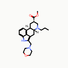 CCCN1C[C@H](C(=O)OC)C[C@@H]2c3cccc4[nH]c(CN5CCOCC5)c(c34)C[C@H]21